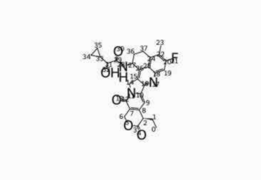 CC[C@H]1C(=O)OCc2c1cc1n(c2=O)Cc2c-1nc1cc(F)c(C)c3c1c2[C@@H](NC(=O)[C@@H](O)C1CC1)CC3